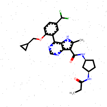 CCC(=O)N[C@@H]1CC[C@H](NC(=O)c2c(C)[nH]c3c(-c4cc(C(F)F)ccc4OCC4CC4)ncnc23)C1